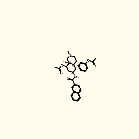 CC(=O)Oc1cccc([C@@]23CCN(C)C[C@H]2C(OC(C)=O)C[C@H](NC(=O)c2ccc4ccccc4c2)C3)c1